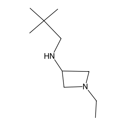 CCN1CC(NCC(C)(C)C)C1